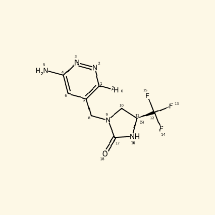 [2H]c1nnc(N)cc1CN1C[C@@H](C(F)(F)F)NC1=O